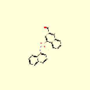 O=C(O)c1cc(S(=O)(=O)Nc2cccc3ccccc23)c2ccccc2c1O